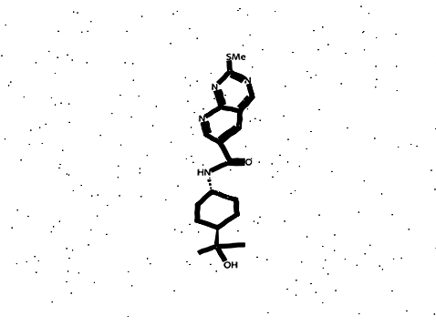 CSc1ncc2cc(C(=O)N[C@H]3CC[C@H](C(C)(C)O)CC3)cnc2n1